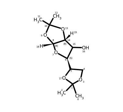 CC1(C)OCC([C@H]2O[C@@H]3OC(C)(C)O[C@@H]3C2O)O1